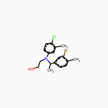 Cc1cc(N(CCO)C(C)c2ccc(C)c(Br)c2)ccc1Cl